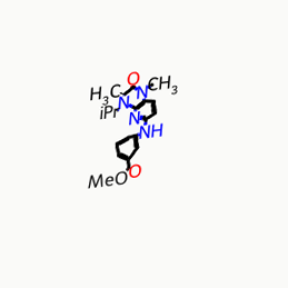 COC(=O)c1cccc(Nc2ccc3c(n2)N(C(C)C)[C@H](C)C(=O)N3C)c1